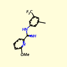 COc1cccc(C(=N)Nc2cc(C)cc(C(F)(F)F)c2)n1